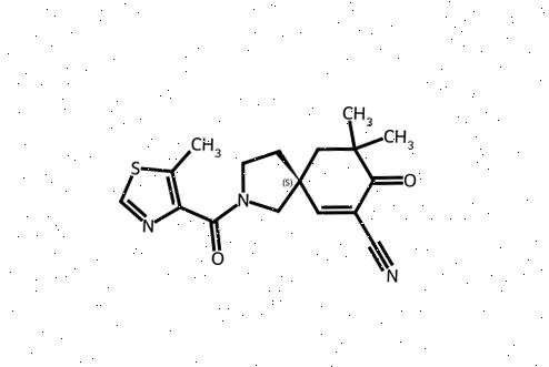 Cc1scnc1C(=O)N1CC[C@@]2(C=C(C#N)C(=O)C(C)(C)C2)C1